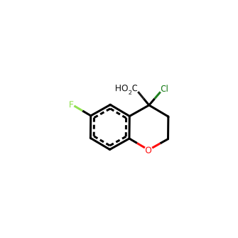 O=C(O)C1(Cl)CCOc2ccc(F)cc21